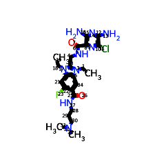 CCn1c(CNC(=O)c2nc(Cl)c(N)nc2N)[n+](CC)c2cc(F)c(C(=O)NCCCN(C)C)cc21